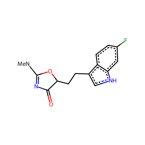 CNC1=NC(=O)C(CCc2c[nH]c3cc(F)ccc23)O1